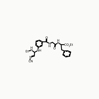 CCNC(C=NC#N)Nc1cccc(C(=O)NCC(=O)NC(Cc2ccccc2)C(=O)OCC)c1